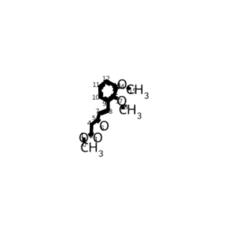 COC(=O)CC(=O)C=Cc1cccc(OC)c1OC